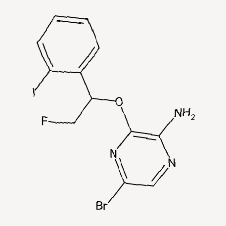 Nc1ncc(Br)nc1OC(CF)c1ccccc1I